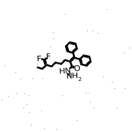 CCC(CCCCC(C(=O)NN)=C(c1ccccc1)c1ccccc1)=C(F)F